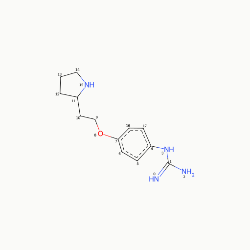 N=C(N)Nc1ccc(OCCC2CCCN2)cc1